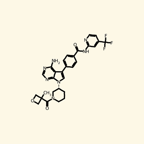 CC1(C(=O)N2CCC[C@@H](n3cc(-c4ccc(C(=O)Nc5cc(C(F)(F)F)ccn5)cc4)c4c(N)ncnc43)C2)COC1